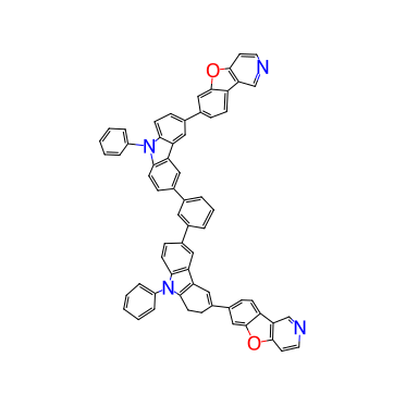 C1=C(c2ccc3c(c2)oc2ccncc23)CCc2c1c1cc(-c3cccc(-c4ccc5c(c4)c4cc(-c6ccc7c(c6)oc6ccncc67)ccc4n5-c4ccccc4)c3)ccc1n2-c1ccccc1